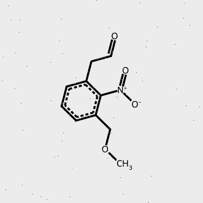 COCc1cccc(CC=O)c1[N+](=O)[O-]